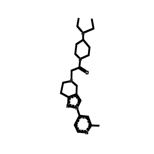 CCN(CC)C1CCN(C(=O)CN2CCc3nn(-c4ccnc(C)c4)cc3C2)CC1